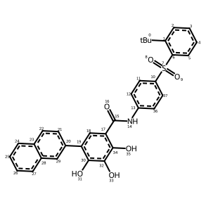 CC(C)(C)c1ccccc1S(=O)(=O)c1ccc(NC(=O)c2cc(-c3ccc4ccccc4c3)c(O)c(O)c2O)cc1